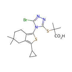 CC1(C)CCc2c(-n3c(Br)nnc3SC(C)(C)C(=O)O)sc(C3CC3)c2C1